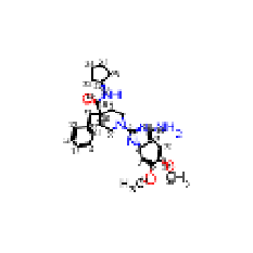 COc1cc2nc(N3CCC(Cc4ccccc4)(C(=O)NC4CCCC4)CC3)nc(N)c2cc1OC